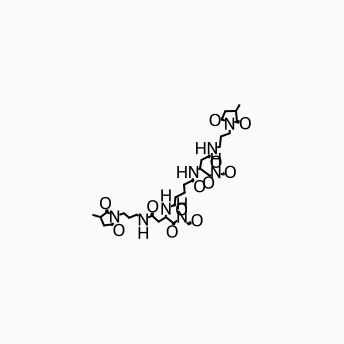 CC1CC(=O)N(CCCNC(=O)CC(NC(=O)CCCC(=O)NC(CC(=O)NCCCN2C(=O)CC(C)C2=O)C(=O)NC=O)C(=O)NC=O)C1=O